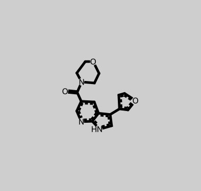 O=C(c1cnc2[nH]cc(-c3ccoc3)c2c1)N1CCOCC1